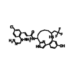 N/N=C\N(N)c1ccc(Cl)cc1/C=C/C(=O)N[C@H]1CCCCC(CC(F)(F)F)Nc2cc(O)ccc2-c2c[nH]c1n2